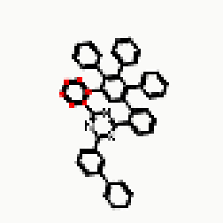 C1=CC(c2cccc(-c3nc(-c4ccccc4)nc(-c4ccccc4-c4cc(-c5ccccc5)c(-c5ccccc5)c(-c5ccccc5)c4-c4ccccc4)n3)c2)=CCC1